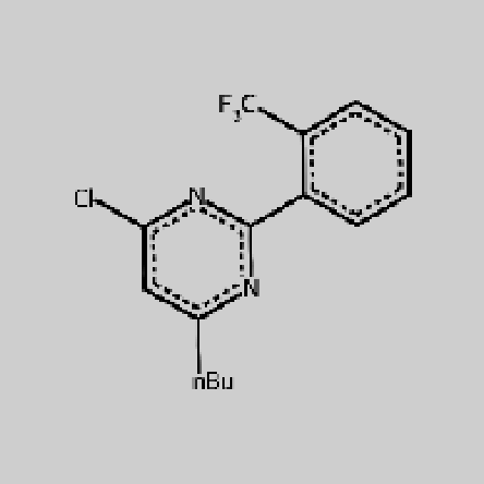 CCCCc1cc(Cl)nc(-c2ccccc2C(F)(F)F)n1